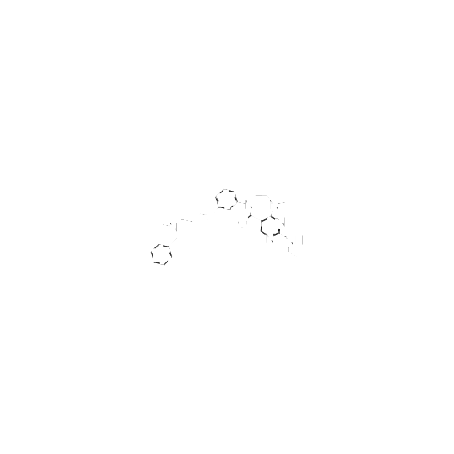 CCNc1ncc2c(n1)N(C)CCN(c1cccc(OCCCN(C)Cc3ccccc3)c1)C2=O